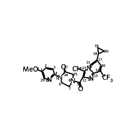 COc1ccc(N2CCN(C(=O)c3nc4c(C(F)(F)F)cc(C5CC5)cn4c3Cl)CC2=O)nc1